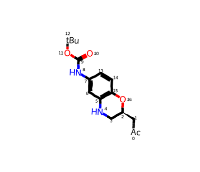 CC(=O)C[C@H]1CNc2cc(NC(=O)OC(C)(C)C)ccc2O1